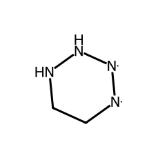 C1CNN[N][N]1